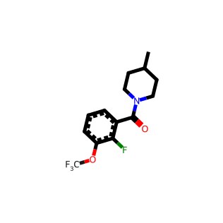 CC1CCN(C(=O)c2cccc(OC(F)(F)F)c2F)CC1